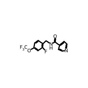 O=C(NCc1ccc(OC(F)(F)F)cc1F)c1ccncc1